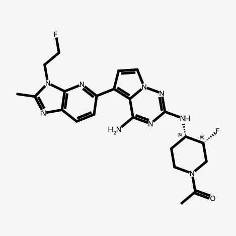 CC(=O)N1CC[C@H](Nc2nc(N)c3c(-c4ccc5nc(C)n(CCF)c5n4)ccn3n2)[C@H](F)C1